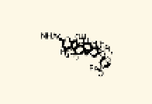 CC(=O)NCC1C[C@@H](C)C2C(O1)[C@H](O)[C@@]1(C)C3CC[C@H]4C(C)(C)C(O[C@H]5CN(C(=O)C(C)C)CCO5)CC[C@@]45C[C@@]35CC[C@]21C